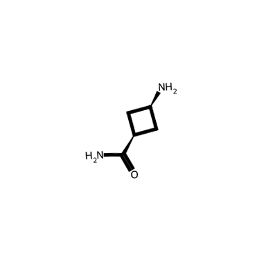 NC(=O)[C@H]1C[C@@H](N)C1